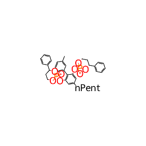 CCCCCc1cc(OP2(=O)OCCC(c3ccccc3)O2)c(-c2cccc(C)c2)c(OP2(=O)OCCC(c3ccccc3)O2)c1